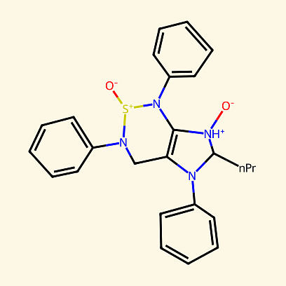 CCCC1N(c2ccccc2)C2=C(N(c3ccccc3)[S+]([O-])N(c3ccccc3)C2)[NH+]1[O-]